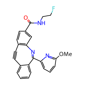 COc1cccc(/C2=N/c3cc(C(=O)NCCF)ccc3C#Cc3ccccc32)n1